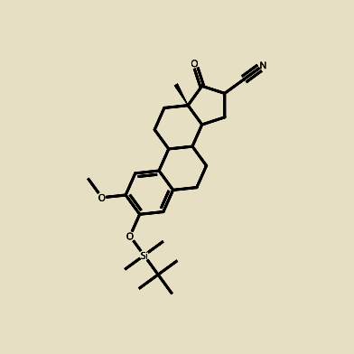 COc1cc2c(cc1O[Si](C)(C)C(C)(C)C)CCC1C2CC[C@]2(C)C(=O)C(C#N)CC12